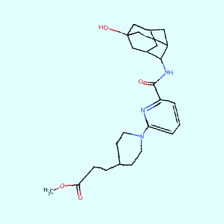 COC(=O)CCC1CCN(c2cccc(C(=O)NC3C4CC5CC3CC(O)(C5)C4)n2)CC1